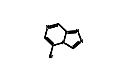 Brc1cncc2nncn12